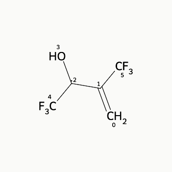 C=C([C](O)C(F)(F)F)C(F)(F)F